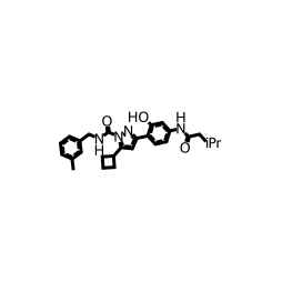 Cc1cccc(CNC(=O)n2nc(-c3ccc(NC(=O)CC(C)C)cc3O)cc2C2CCC2)c1